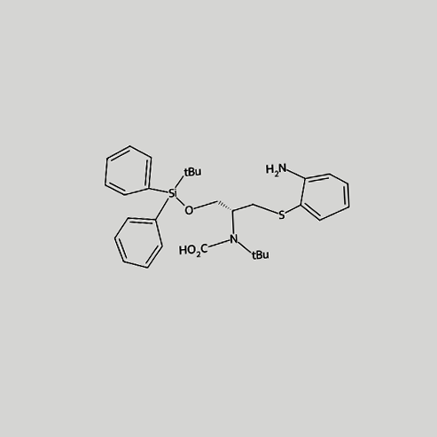 CC(C)(C)N(C(=O)O)[C@H](CO[Si](c1ccccc1)(c1ccccc1)C(C)(C)C)CSc1ccccc1N